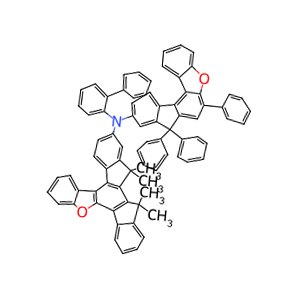 CC1(C)c2ccccc2-c2c1c1c(c3c2oc2ccccc23)-c2ccc(N(c3ccc4c(c3)C(c3ccccc3)(c3ccccc3)c3cc(-c5ccccc5)c5oc6ccccc6c5c3-4)c3ccccc3-c3ccccc3)cc2C1(C)C